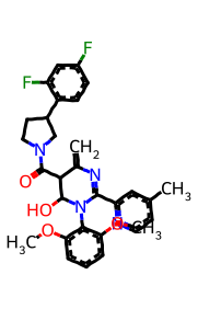 C=C1N=C(c2cc(C)ccn2)N(c2c(OC)cccc2OC)C(O)C1C(=O)N1CCC(c2ccc(F)cc2F)C1